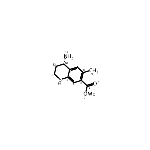 COC(=O)c1cc2c(cc1C)[C@@H](N)CCS2